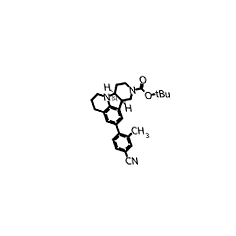 Cc1cc(C#N)ccc1-c1cc2c3c(c1)[C@@H]1CN(C(=O)OC(C)(C)C)CC[C@@H]1N3CCC2